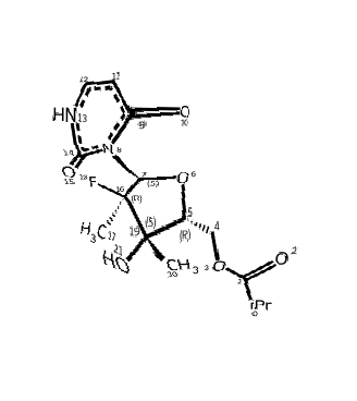 CC(C)C(=O)OC[C@H]1O[C@H](n2c(=O)cc[nH]c2=O)[C@](C)(F)[C@@]1(C)O